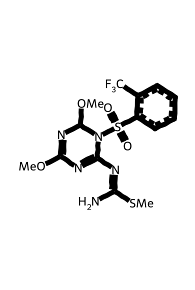 COC1=NC(OC)N(S(=O)(=O)c2ccccc2C(F)(F)F)C(N=C(N)SC)=N1